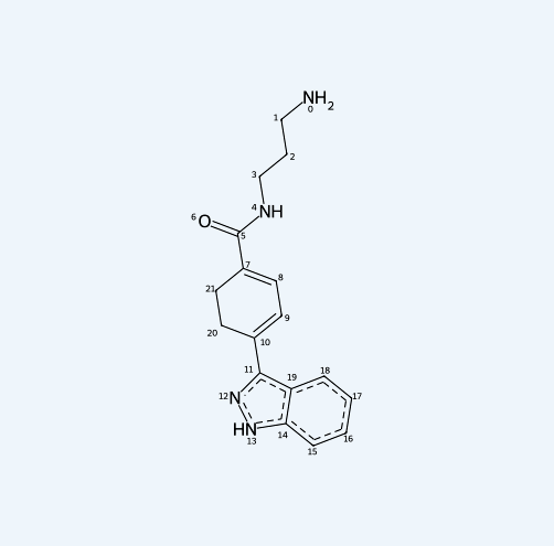 NCCCNC(=O)C1=CC=C(c2n[nH]c3ccccc23)CC1